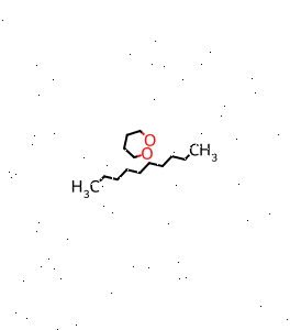 C1CCOOC1.CCCCCCCCCC